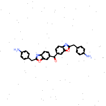 Nc1ccc(Cc2nc3ccc(C(=O)c4ccc5nc(Cc6ccc(N)cc6)oc5c4)cc3o2)cc1